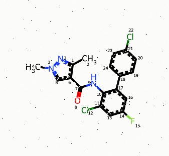 Cc1nn(C)cc1C(=O)Nc1c(Cl)cc(F)cc1-c1ccc(Cl)cc1